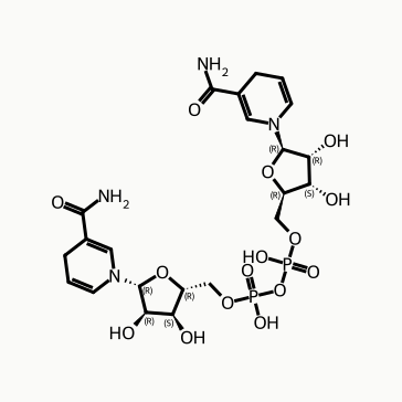 NC(=O)C1=CN([C@@H]2O[C@H](COP(=O)(O)OP(=O)(O)OC[C@H]3O[C@@H](N4C=CCC(C(N)=O)=C4)[C@H](O)[C@@H]3O)[C@@H](O)[C@H]2O)C=CC1